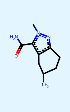 Cn1nc2c(c1C(N)=O)CC(C(F)(F)F)CC2